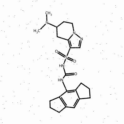 CN(C)C1CCn2ncc(S(=O)(=O)NC(=O)Nc3c4c(cc5c3CCC5)CCC4)c2C1